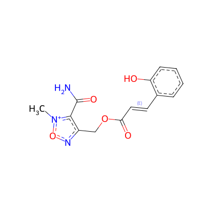 C[n+]1onc(COC(=O)/C=C/c2ccccc2O)c1C(N)=O